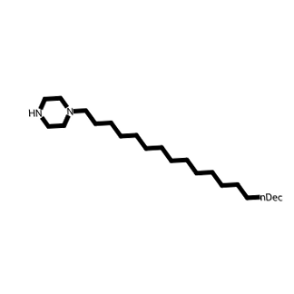 CCCCCCCCCCCCCCCCCCCCCCCCN1CCNCC1